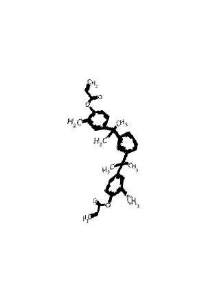 C=CC(=O)Oc1ccc(C(C)(C)c2cccc(C(C)(C)c3ccc(OC(=O)C=C)c(C)c3)c2)cc1C